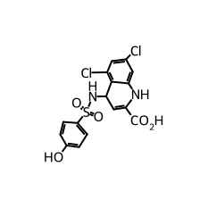 O=C(O)C1=CC(NS(=O)(=O)c2ccc(O)cc2)c2c(Cl)cc(Cl)cc2N1